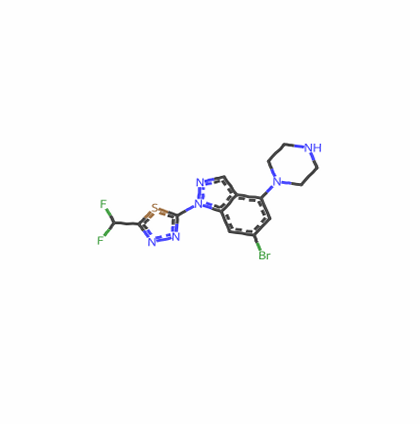 FC(F)c1nnc(-n2ncc3c(N4CCNCC4)cc(Br)cc32)s1